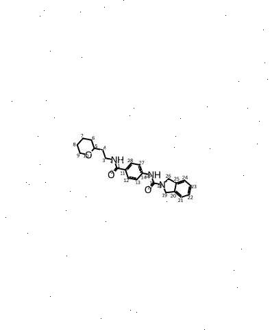 O=C(NCCC1CCCCO1)c1ccc(NC(=O)N2Cc3ccccc3C2)cc1